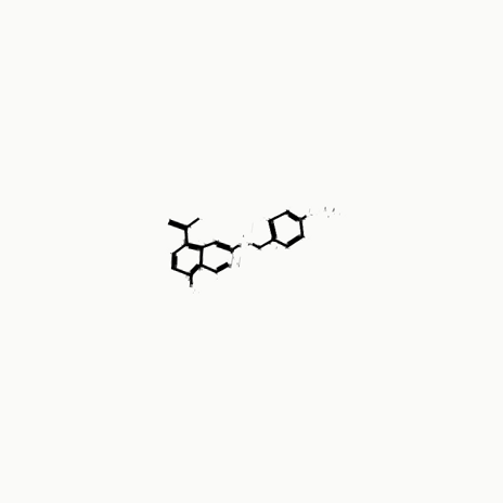 C=C(C)c1ccc(Br)c2cnc(NCc3ccc(OC)cc3)cc12